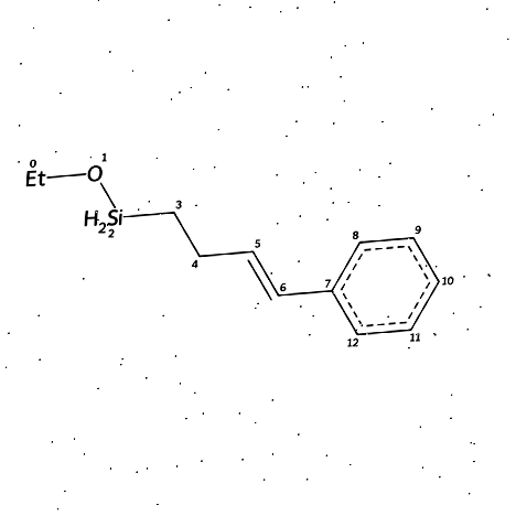 CCO[SiH2]CCC=Cc1ccccc1